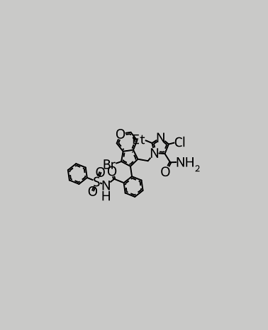 CCc1nc(Cl)c(C(N)=O)n1Cc1c2ccocc-2c(Br)c1-c1ccccc1C(=O)NS(=O)(=O)c1ccccc1